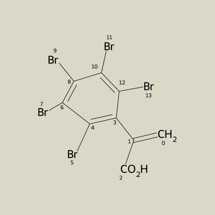 C=C(C(=O)O)c1c(Br)c(Br)c(Br)c(Br)c1Br